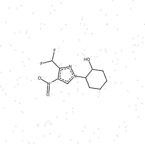 O=[N+]([O-])c1cn(C2CCCCC2O)nc1C(F)F